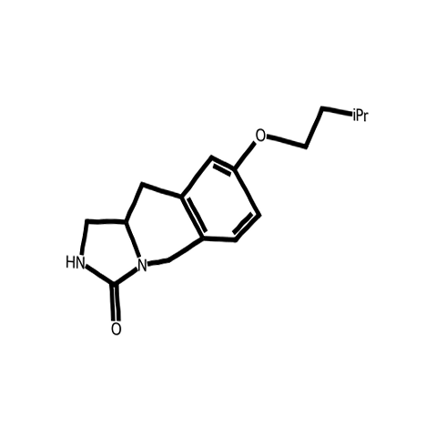 CC(C)CCOc1ccc2c(c1)CC1CNC(=O)N1C2